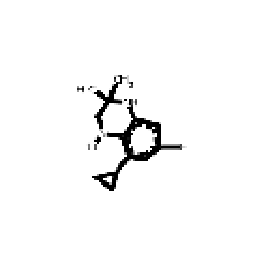 [2H]N1CC(C)(C)Nc2cc(F)cc(C3CC3)c21